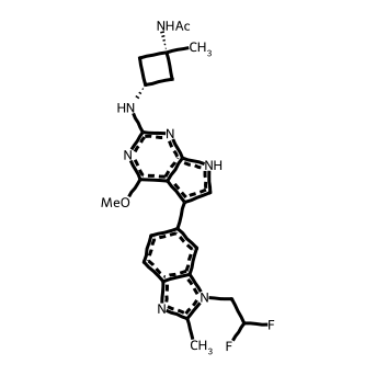 COc1nc(N[C@H]2C[C@@](C)(NC(C)=O)C2)nc2[nH]cc(-c3ccc4nc(C)n(CC(F)F)c4c3)c12